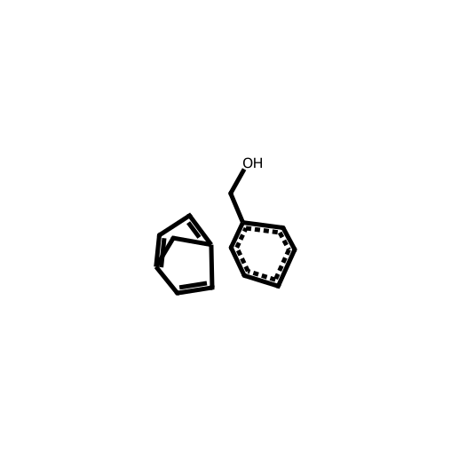 C1=CC2=CC=C1C2.OCc1ccccc1